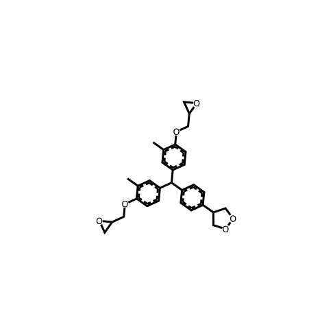 Cc1cc(C(c2ccc(C3COOC3)cc2)c2ccc(OCC3CO3)c(C)c2)ccc1OCC1CO1